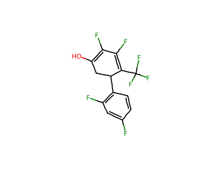 OC1=C(F)C(F)=C(C(F)(F)F)C(c2ccc(F)cc2F)[CH]1